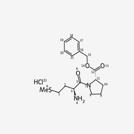 CSCC[C@H](N)C(=O)N1CCC[C@H]1C(=O)OCc1ccccc1.Cl